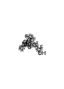 Cc1c(N2CCN(Cc3ccc(O)cc3F)CC2)c(=O)n(C[C@@H](N)c2ccccc2)c(=O)n1Cc1c(F)cccc1C(F)(F)F